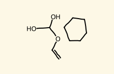 C1CCCCC1.C=COC(O)O